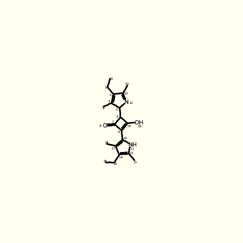 CCC1=C(C)C(C2C(=O)C(c3[nH]c(C)c(CC)c3C)=C2O)N=C1C